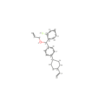 C=CCOC(c1ccc(C2CCC(C=C)CC2)cc1)c1ccccc1F